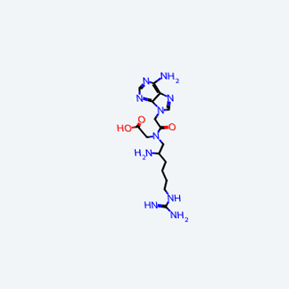 N=C(N)NCCCCC(N)CN(CC(=O)O)C(=O)Cn1cnc2c(N)ncnc21